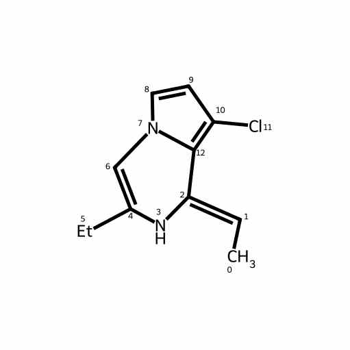 CC=C1NC(CC)=Cn2ccc(Cl)c21